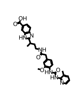 COc1cc(CC(=O)NCCC(C)c2nc3ccc(C(=O)O)cc3[nH]2)ccc1NC(=O)Nc1ncccc1C